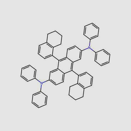 c1ccc(N(c2ccccc2)c2ccc3c(-c4cccc5c4CCCC5)c4cc(N(c5ccccc5)c5ccccc5)ccc4c(-c4cccc5c4CCCC5)c3c2)cc1